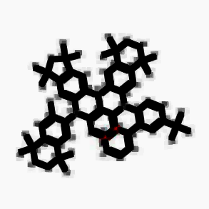 Cc1cc2c3c(c1)N(c1ccc(C(C)(C)C)cc1-c1ccccc1)c1cc4c(cc1B3c1cc3c(cc1N2c1cc2c(cc1C)C(C)(C)CCC2(C)C)C(C)(C)CC3(C)C)C(C)(C)CCC4(C)C